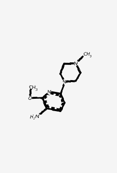 COc1nc(N2CCN(C)CC2)ccc1N